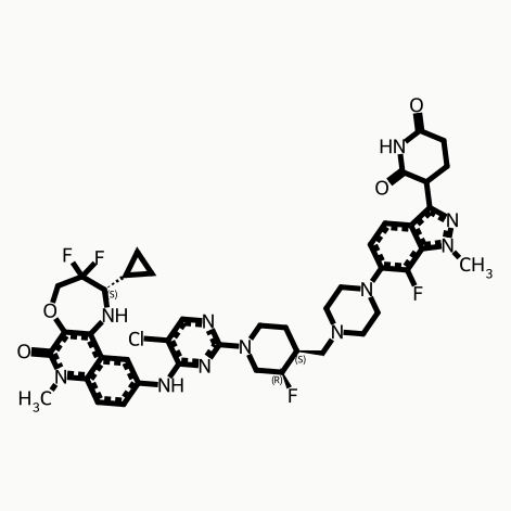 Cn1nc(C2CCC(=O)NC2=O)c2ccc(N3CCN(C[C@@H]4CCN(c5ncc(Cl)c(Nc6ccc7c(c6)c6c(c(=O)n7C)OCC(F)(F)[C@H](C7CC7)N6)n5)C[C@@H]4F)CC3)c(F)c21